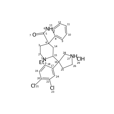 CCN1CCC(C(N)=O)(c2ccccc2)CC1C1(c2ccc(Cl)c(Cl)c2)CCNC1.Cl